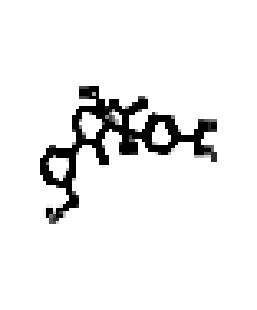 Cl.N=C(N)c1ccc([C@@](O)(C(N)=O)[C@H]2OCCN(c3cccc(OC(F)(F)F)c3)C2=O)cc1